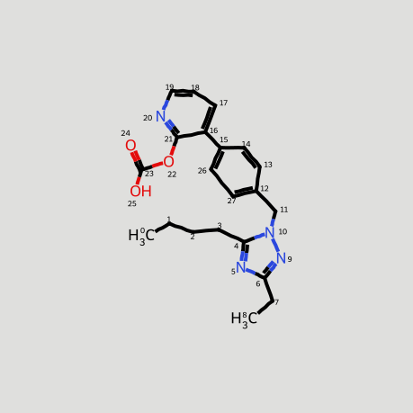 CCCCc1nc(CC)nn1Cc1ccc(-c2cccnc2OC(=O)O)cc1